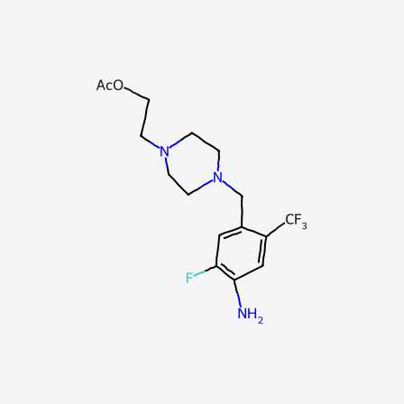 CC(=O)OCCN1CCN(Cc2cc(F)c(N)cc2C(F)(F)F)CC1